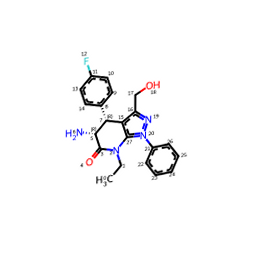 CCN1C(=O)[C@H](N)[C@H](c2ccc(F)cc2)c2c(CO)nn(-c3ccccc3)c21